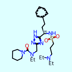 CCN(CC)CCCS(=O)(=O)N[C@H](CCc1ccccc1)c1nc(CN(CC)C(=O)N2CCCCC2)n[nH]1